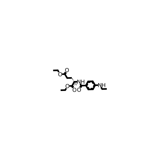 CCNc1ccc(C(=O)N[C@@H](CCC(=O)OCC)C(=O)OCC)cc1